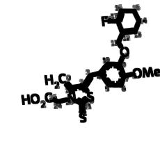 C=c1/c(=C/c2ccc(OC)c(OCC3=CCCC=C3F)c2)sc(=S)n1CC(=O)O